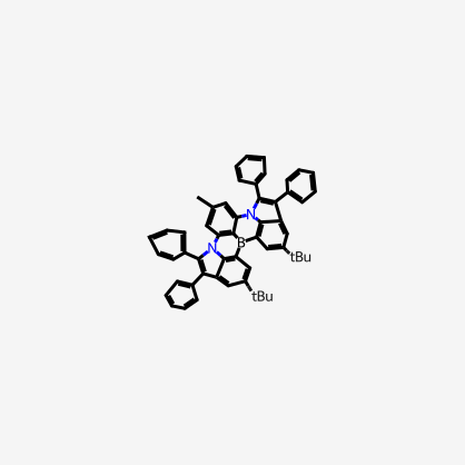 Cc1cc2c3c(c1)-n1c(-c4ccccc4)c(-c4ccccc4)c4cc(C(C)(C)C)cc(c41)B3c1cc(C(C)(C)C)cc3c(-c4ccccc4)c(-c4ccccc4)n-2c13